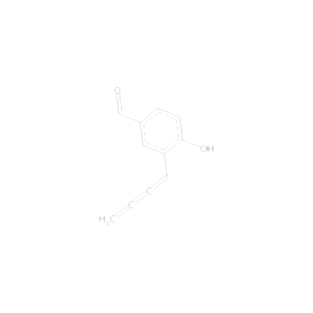 C=C=C=Cc1cc(C=O)ccc1O